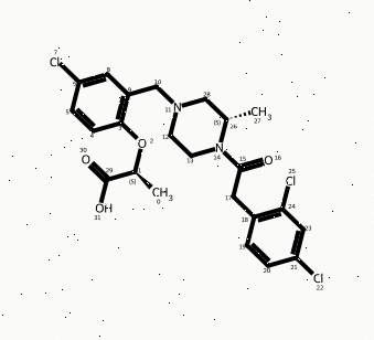 C[C@H](Oc1ccc(Cl)cc1CN1CCN(C(=O)Cc2ccc(Cl)cc2Cl)[C@@H](C)C1)C(=O)O